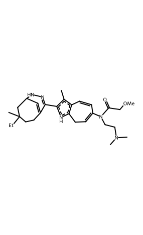 CCC1(C)CCC2=CC(C1)NN=C2c1[nH]c2c(c1C)C=CC(N(CCN(C)C)C(=O)COC)=CC2